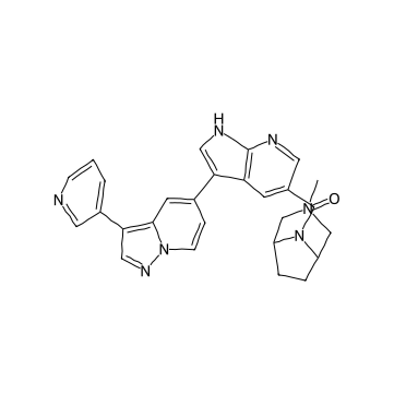 CN1CC2CCC(C1)N2C(=O)c1cnc2[nH]cc(-c3ccn4ncc(-c5cccnc5)c4c3)c2c1